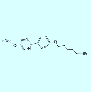 CCCCCCCCCCOc1cnc(-c2ccc(OCCCCCC(C)CC)cc2)nc1